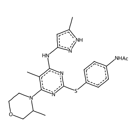 CC(=O)Nc1ccc(Sc2nc(Nc3cc(C)[nH]n3)c(C)c(N3CCOCC3C)n2)cc1